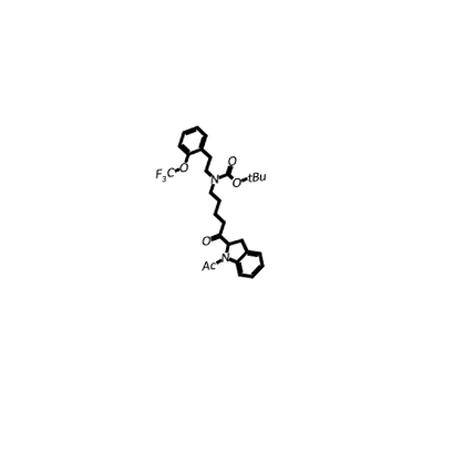 CC(=O)N1c2ccccc2CC1C(=O)CCCCN(CCc1ccccc1OC(F)(F)F)C(=O)OC(C)(C)C